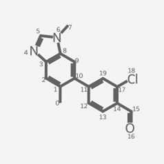 Cc1cc2ncn(C)c2cc1-c1ccc(C=O)c(Cl)c1